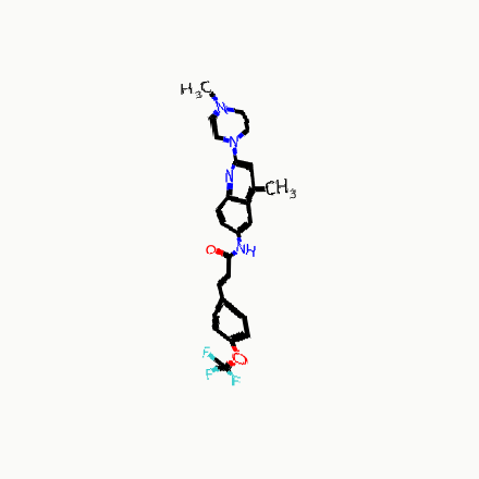 Cc1cc(N2CCN(C)CC2)nc2ccc(NC(=O)CCc3ccc(OC(F)(F)F)cc3)cc12